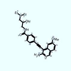 CCN(CC)CC(O)CNC(=O)c1ccc(C#Cc2c(N)ncc3ccc(OC)cc23)cc1